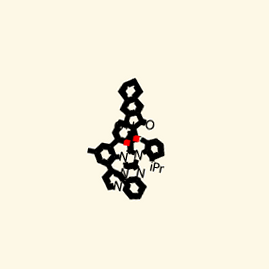 Cc1cc(-c2ccncc2)c(N2/C(=C/C=C3C(=O)c4cc5ccccc5cc4C3=O)N(c3c(C(C)C)cccc3C(C)C)c3nc4ccccc4nc32)c(-c2ccncc2)c1